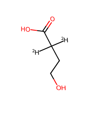 [2H]C([2H])(CCO)C(=O)O